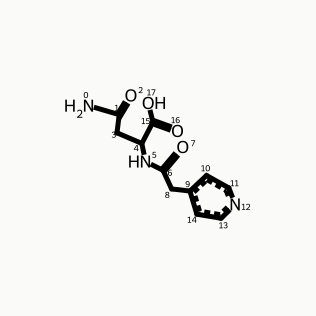 NC(=O)CC(NC(=O)Cc1ccncc1)C(=O)O